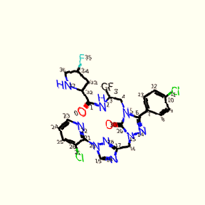 O=C(NC(Cn1c(-c2ccc(Cl)cc2)nn(Cc2ncn(-c3ncccc3Cl)n2)c1=O)C(F)(F)F)C1CC(F)CN1